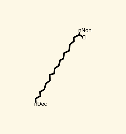 CCCCCCCCCCCCCCCCCCCCCCCCCCCC(Cl)CCCCCCCCC